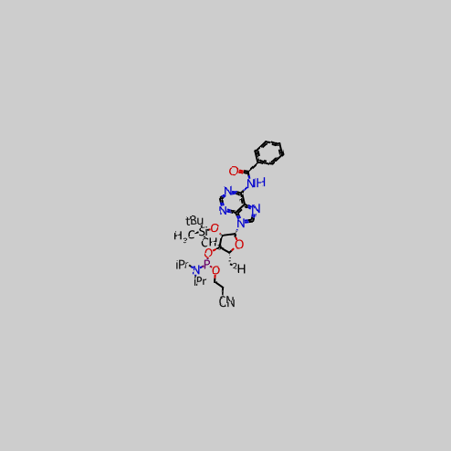 [2H]C[C@H]1O[C@@H](n2cnc3c(NC(=O)c4ccccc4)ncnc32)[C@@H](O[Si](C)(C)C(C)(C)C)C1OP(OCCC#N)N(C(C)C)C(C)C